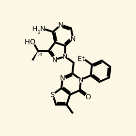 CCc1ccccc1-n1c(Cn2nc([C@@H](C)O)c3c(N)ncnc32)nc2scc(C)c2c1=O